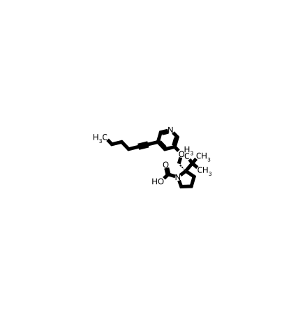 CCCCC#Cc1cncc(OC[C@]2(C(C)(C)C)CCCN2C(=O)O)c1